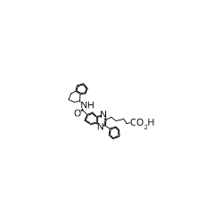 O=C(O)CCCCc1nc2cc(C(=O)N[C@@H]3CCCc4ccccc43)ccc2nc1-c1ccccc1